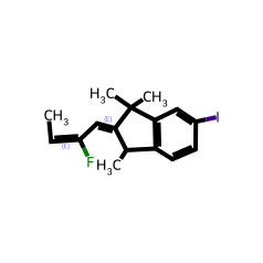 C/C=C(F)\C=C1/C(C)c2ccc(I)cc2C1(C)C